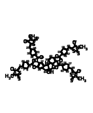 CN1C(=O)/C(=C/c2ccc(C(=O)Oc3cc4c(cc3OC(=O)c3ccc(/C=C5\SC(=S)N(C)C5=O)cc3)[C@@H]3c5ccc(OC(=O)c6ccc(/C=C7\SC(=S)N(C)C7=O)cc6)c(OC(=O)c6ccc(/C=C7\SC(=S)N(C)C7=O)cc6)c5OC[C@]3(O)C4)cc2)SC1=S